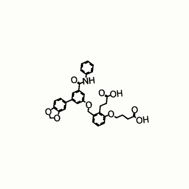 O=C(O)CCCOc1cccc(COc2cc(C(=O)Nc3ccccc3)cc(-c3ccc4c(c3)OCO4)c2)c1CCC(=O)O